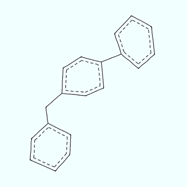 c1ccc(Cc2ccc(-c3ccccc3)cc2)cc1